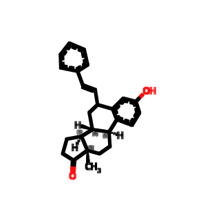 C[C@]12CC[C@@H]3c4ccc(O)cc4C(C=Cc4ccccc4)C[C@H]3[C@@H]1CCC2=O